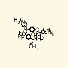 CCC[C@@H](NC(=O)N1C(=O)C(CC)(CC)[C@@H]1Oc1ccc(C(=O)N2CCN(C)CC2)cc1)c1ccc(OC(F)(F)F)cc1